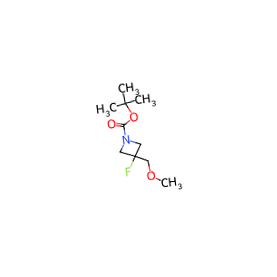 COCC1(F)CN(C(=O)OC(C)(C)C)C1